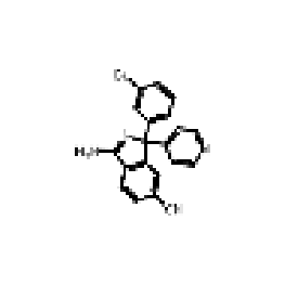 N#Cc1ccc2c(c1)C(c1ccncc1)(c1cccc(Br)c1)N=C2N